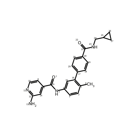 Cc1ccc(NC(=O)c2ccnc(N)c2)cc1-c1ccc(C(=O)NCC2CC2)cc1